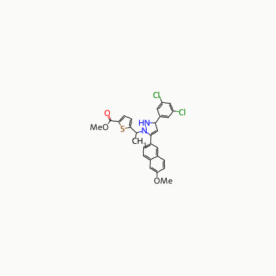 COC(=O)c1ccc(C(C)N2NC(c3cc(Cl)cc(Cl)c3)C=C2c2ccc3cc(OC)ccc3c2)s1